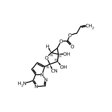 C=CCOC(=O)OC1[C@H]2O[C@@](C#N)(c3ccc4c(N)ncnn34)[C@H](O)[C@@]12O